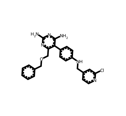 Nc1nc(N)c(-c2ccc(NCc3ccnc(Cl)c3)cc2)c(COCc2ccccc2)n1